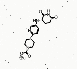 CC(C)(C)OC(=O)N1CCN(c2ccc(N[C@H]3CCC(=O)NC3=O)cn2)CC1